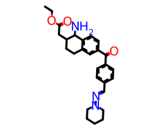 CCOC(=O)CC1CCc2cc(C(=O)c3ccc(C=NN4CCCCC4)cc3)ccc2C1N